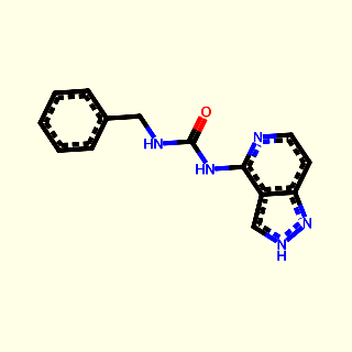 O=C(NCc1ccccc1)Nc1nccc2n[nH]cc12